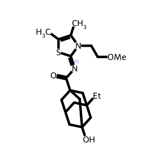 CCC12CC3CC(O)(C1)CC(C(=O)/N=c1\sc(C)c(C)n1CCOC)(C3)C2